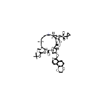 CC[C@@H]1C[C@@H](C)CC/C=C\[C@@H]2C[C@@]2(C(=O)NS(=O)(=O)C2(C)CC2)NC(=O)[C@@H]2C[C@@H](Oc3nccc4c5c(ccc34)OCCO5)CN2C(=O)[C@H]1NC(=O)OC(C)(C)C